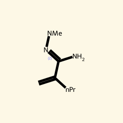 C=C(CCC)/C(N)=N/NC